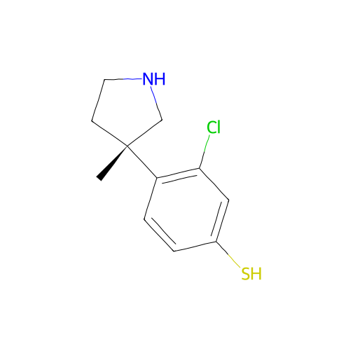 C[C@@]1(c2ccc(S)cc2Cl)CCNC1